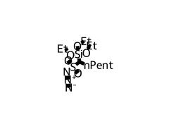 CCCCCC([Si](OCC)(OCC)OCC)S(=O)(=O)N=[N+]=[N-]